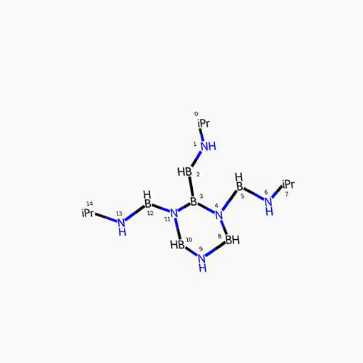 CC(C)NBB1N(BNC(C)C)BNBN1BNC(C)C